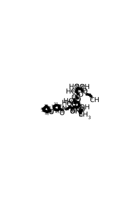 C#CCCO[C@@H]1O[C@H](CO[C@@]2(C(=O)O)C[C@H](O)[C@@H](NC(C)=O)[C@H]([C@H](O)[C@H](O)CNC(=O)c3cccc(Oc4ccccc4)c3)O2)[C@H](O)[C@H](O)[C@H]1O